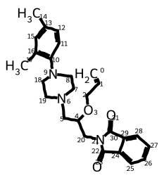 C=CCOC(CN1CCN(c2ccc(C)cc2C)CC1)CN1C(=O)c2ccccc2C1=O